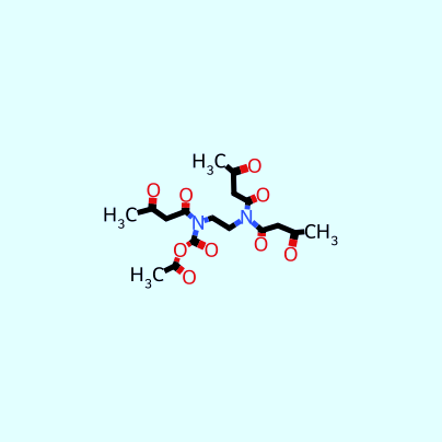 CC(=O)CC(=O)N(CCN(C(=O)CC(C)=O)C(=O)OC(C)=O)C(=O)CC(C)=O